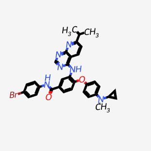 CC(C)c1ccc2c(Nc3cc(C(=O)Nc4ccc(Br)cc4)ccc3Oc3ccc(N(C)C4CC4)cc3)ncnc2n1